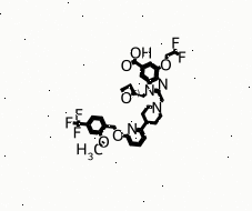 COc1cc(C(F)(F)F)ccc1COc1cccc(C2CCN(Cc3nc4c(OCC(F)F)cc(C(=O)O)cc4n3C[C@@H]3CCO3)CC2)n1